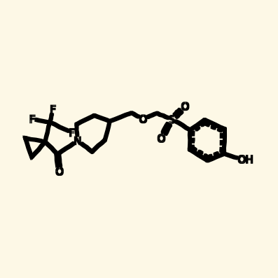 O=C(N1CCC(COCS(=O)(=O)c2ccc(O)cc2)CC1)C1(C(F)(F)F)CC1